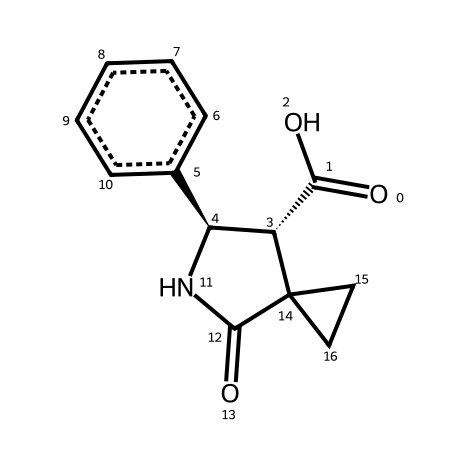 O=C(O)[C@H]1[C@H](c2ccccc2)NC(=O)C12CC2